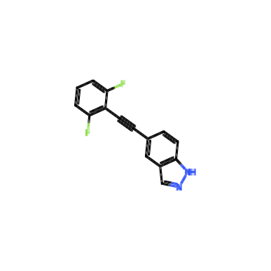 Fc1cccc(F)c1C#Cc1ccc2[nH]ncc2c1